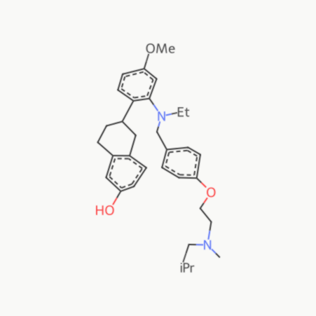 CCN(Cc1ccc(OCCN(C)CC(C)C)cc1)c1cc(OC)ccc1C1CCc2cc(O)ccc2C1